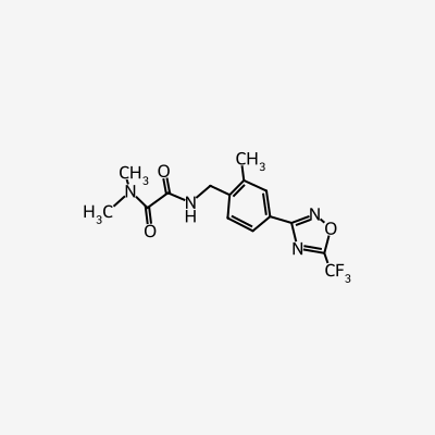 Cc1cc(-c2noc(C(F)(F)F)n2)ccc1CNC(=O)C(=O)N(C)C